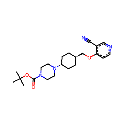 CC(C)(C)OC(=O)N1CCN([C@H]2CC[C@H](COc3ccncc3C#N)CC2)CC1